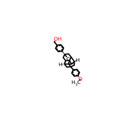 COc1ccc(C23CC4C5C[C@]6(c7ccc(CO)cc7)CC4[C@H](C2)C(C6)[C@H]5C3)cc1